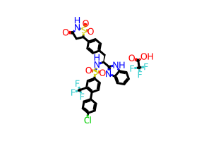 O=C(O)C(F)(F)F.O=C1CC(c2ccc(C[C@H](NS(=O)(=O)c3ccc(-c4ccc(Cl)cc4)c(C(F)(F)F)c3)c3nc4ccccc4[nH]3)cc2)S(=O)(=O)N1